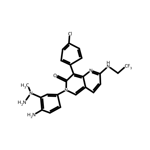 CN(N)c1cc(-n2cc3ccc(NCC(F)(F)F)nc3c(-c3ccc(Cl)cc3)c2=O)ccc1N